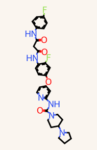 O=C(CC(=O)Nc1ccc(Oc2ccnc(NC(=O)N3CCC(N4CCCC4)CC3)c2)cc1F)Nc1ccc(F)cc1